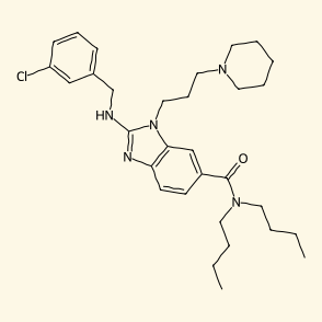 CCCCN(CCCC)C(=O)c1ccc2nc(NCc3cccc(Cl)c3)n(CCCN3CCCCC3)c2c1